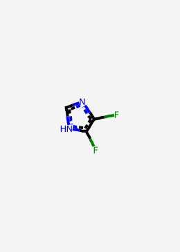 Fc1nc[nH]c1F